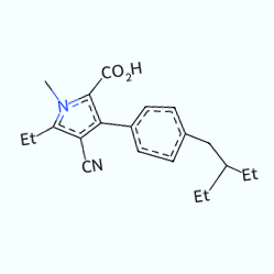 CCc1c(C#N)c(-c2ccc(CC(CC)CC)cc2)c(C(=O)O)n1C